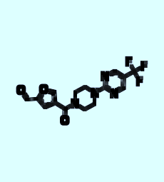 O=Cc1cc(C(=O)N2CCN(c3ncc(C(F)(F)F)cn3)CC2)co1